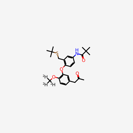 [2H]C([2H])([2H])Oc1ccc(CC(C)=O)cc1Oc1ccc(NC(=O)C(C)(C)C)cc1CSC(C)(C)C